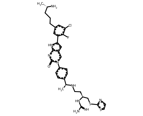 C[C@H](N)CCCc1cc(Cl)c(F)c(-c2cc3cn(-c4ccc([C@H](C)NCC[C@@H](CSc5nccs5)NC(=N)N)cc4)c(=O)nc3[nH]2)c1